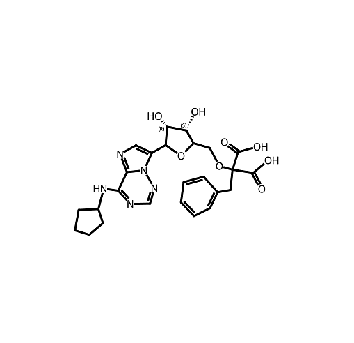 O=C(O)C(Cc1ccccc1)(OCC1OC(c2cnc3c(NC4CCCC4)ncnn23)[C@H](O)[C@@H]1O)C(=O)O